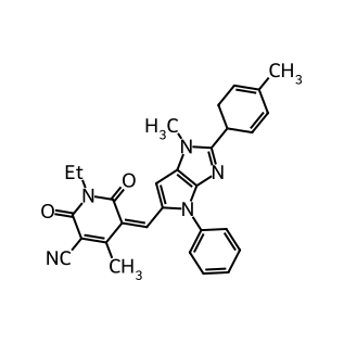 CCN1C(=O)C(C#N)=C(C)/C(=C/c2cc3c(nc(C4C=CC(C)=CC4)n3C)n2-c2ccccc2)C1=O